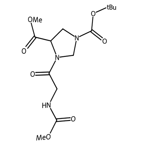 COC(=O)NCC(=O)N1CN(C(=O)OC(C)(C)C)CC1C(=O)OC